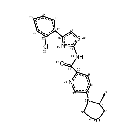 C[C@H]1COCCN1c1ccc(C(=O)Nc2nc(-c3ccccc3Cl)cs2)nc1